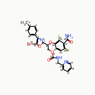 Cc1ccc(-c2nc(C(COC(=O)NCc3ccccn3)Oc3ccc(F)c(C(N)=O)c3F)oc2Br)cc1